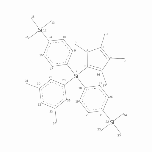 CC1=C(C)C(C)C([Si](c2ccc([Si](C)(C)C)cc2)(c2ccc([Si](C)(C)C)cc2)c2cc(C)cc(C)c2)=C1C